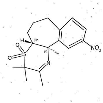 CC1=N[C@]2(C)c3cc([N+](=O)[O-])ccc3CCC[C@H]2S(=O)(=O)C1(C)C